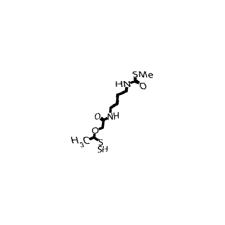 CSC(=O)NCCCCNC(=O)COC(C)SS